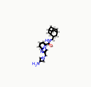 NC1CN(Cc2cn3c(C(=O)NCC45CC6CC7CC(C4)C7(C6)C5)cccc3n2)C1